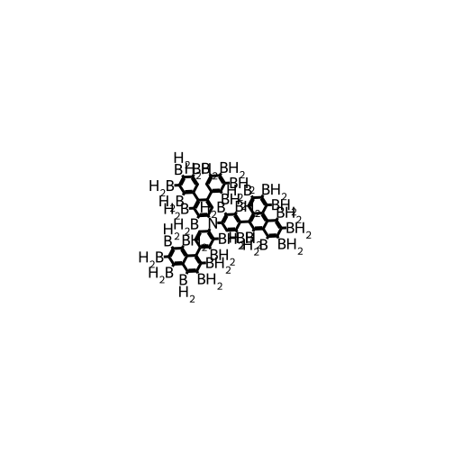 Bc1cc(-c2cc(N(c3ccc(-c4c(B)c(B)c(B)c5c(B)c(B)c(B)c(B)c45)c(B)c3B)c3cc(B)c(-c4c(B)c5c(B)c(B)c(B)c(B)c5c5c(B)c(B)c(B)cc45)c(B)c3B)c(B)c(B)c2-c2cc(B)c(B)c(B)c2B)c(B)c(B)c1B